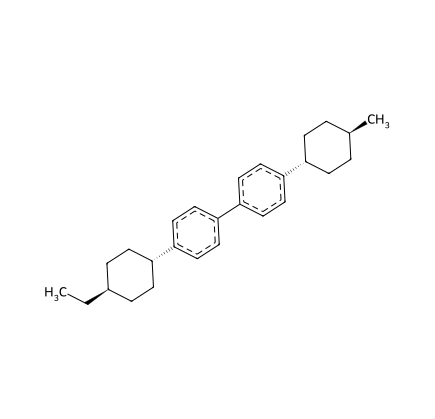 CC[C@H]1CC[C@H](c2ccc(-c3ccc([C@H]4CC[C@H](C)CC4)cc3)cc2)CC1